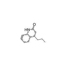 CCCc1cc(=O)[nH]c2c#cccc12